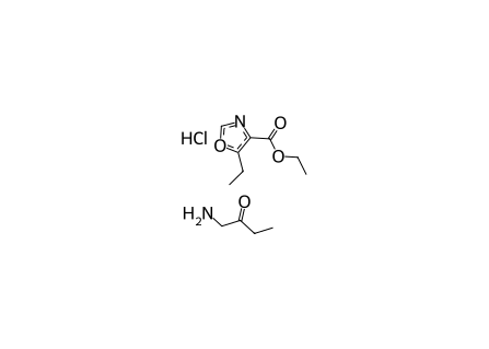 CCC(=O)CN.CCOC(=O)c1ncoc1CC.Cl